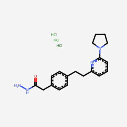 Cl.Cl.Cl.NNC(=O)Cc1ccc(CCc2cccc(N3CCCC3)n2)cc1